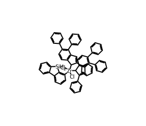 [Cl][Zr]([Cl])([c]1cccc2c1[SiH2]c1ccccc1-2)([CH]1C(c2ccccc2)=Cc2c1ccc(-c1ccccc1)c2-c1ccccc1)[CH]1C(c2ccccc2)=Cc2c1ccc(-c1ccccc1)c2-c1ccccc1